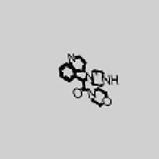 O=C(C(c1ccccc1)[N+]1(c2ccncc2)CCNCC1)N1CCOCC1